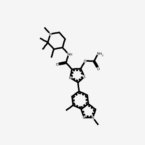 Cc1cc(-c2nc(C(=O)NC3CCN(C)C(C)(C)C3C)c(OC(N)=O)s2)cc2cn(C)nc12